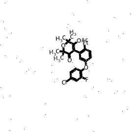 CCc1ccc(Oc2ccc(Cl)cc2F)cc1C1=C(OC(C)=O)C(C)(C)OC(C)(C)C1=O